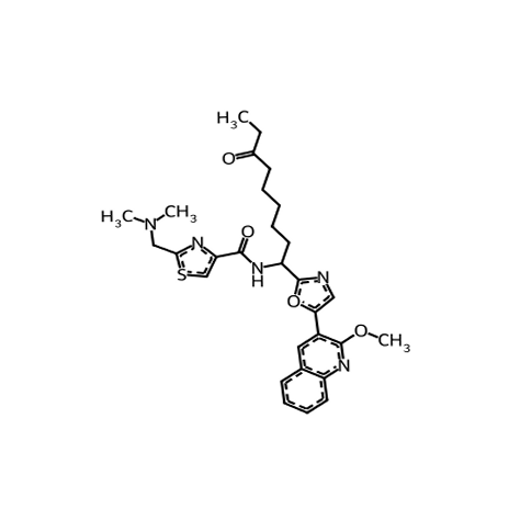 CCC(=O)CCCCCC(NC(=O)c1csc(CN(C)C)n1)c1ncc(-c2cc3ccccc3nc2OC)o1